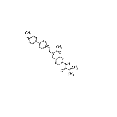 C=C(C)C(=O)Nc1ccc(CN(CC[n+]2ccc(-c3cc[n+](CC)cc3)cc2)C(C)=O)cc1